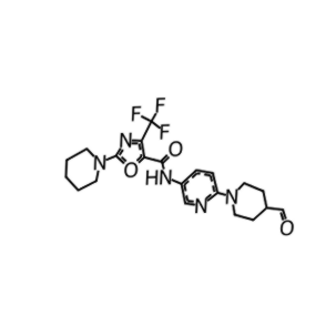 O=CC1CCN(c2ccc(NC(=O)c3oc(N4CCCCC4)nc3C(F)(F)F)cn2)CC1